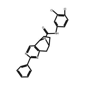 O=C(Nc1ccc(Cl)c(Cl)c1)N1C2CCC1c1cnc(-c3ccccc3)nc1C2